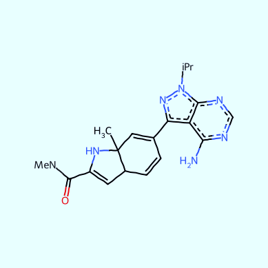 CNC(=O)C1=CC2C=CC(c3nn(C(C)C)c4ncnc(N)c34)=CC2(C)N1